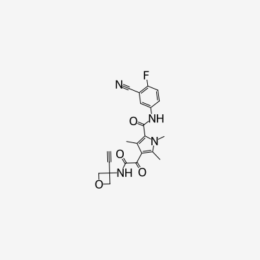 C#CC1(NC(=O)C(=O)c2c(C)c(C(=O)Nc3ccc(F)c(C#N)c3)n(C)c2C)COC1